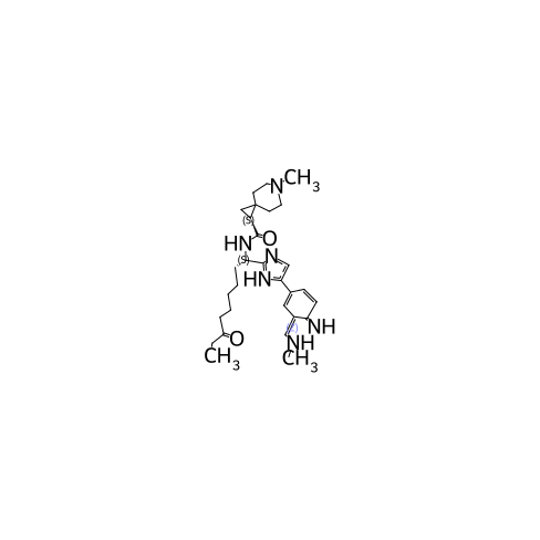 CCC(=O)CCCCC[C@H](NC(=O)[C@H]1CC12CCN(C)CC2)c1ncc(C2=C/C(=C/NC)C(=N)C=C2)[nH]1